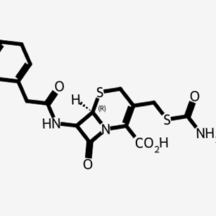 NC(=O)SCC1=C(C(=O)O)N2C(=O)C(NC(=O)CC3=CCC=CC3)[C@H]2SC1